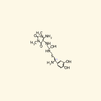 Cn1c(N)c(NCC(O)NCS/C=C(\N)c2ccc(O)c(O)c2)c(=O)n(C)c1=O